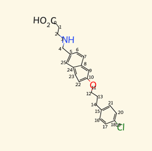 O=C(O)CCNCc1ccc2cc(OCCCc3ccc(Cl)cc3)ccc2c1